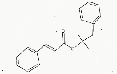 CC(C)(Cc1ccccc1)OC(=O)C=Cc1ccccc1